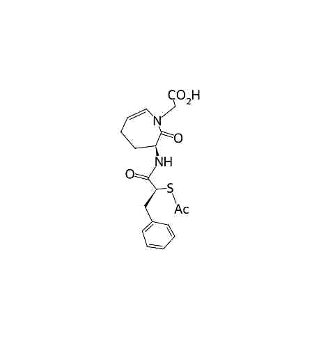 CC(=O)S[C@@H](Cc1ccccc1)C(=O)N[C@H]1CCC=CN(CC(=O)O)C1=O